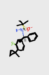 CC1(c2ccc([C@@H](N[S@+]([O-])C(C)(C)C)c3ccccc3)cc2F)CC1